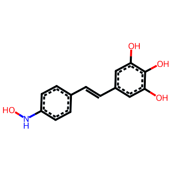 ONc1ccc(/C=C/c2cc(O)c(O)c(O)c2)cc1